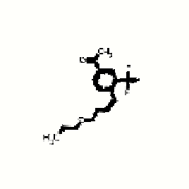 CCCOCC/C=C\c1ccc(C(C)=O)cc1C(F)(F)F